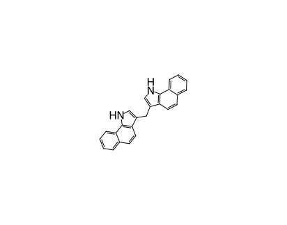 c1ccc2c(c1)ccc1c(Cc3c[nH]c4c3ccc3ccccc34)c[nH]c12